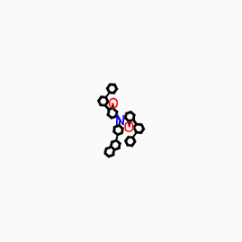 c1ccc(-c2cccc3c2oc2cc(N(c4ccc(-c5ccc6ccccc6c5)cc4)c4cccc5c4oc4c(-c6ccccc6)cccc45)ccc23)cc1